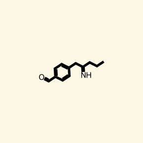 CCCC(=N)Cc1ccc(C=O)cc1